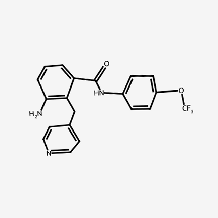 Nc1cccc(C(=O)Nc2ccc(OC(F)(F)F)cc2)c1Cc1ccncc1